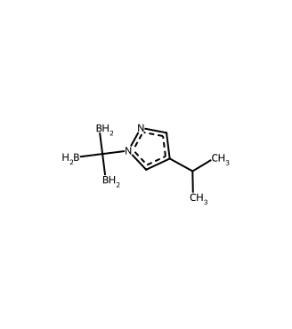 BC(B)(B)n1cc(C(C)C)cn1